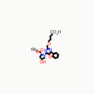 CC(C)(C)OC(=O)[C@@H]1C[C@H](O)CN1c1nc(COCCCCC(=O)O)nc2c1oc1ccccc12